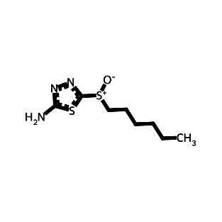 CCCCCC[S+]([O-])c1nnc(N)s1